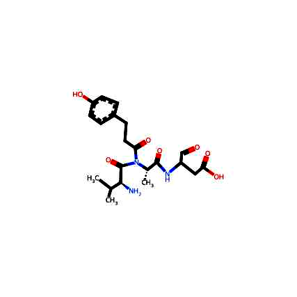 CC(C)[C@H](N)C(=O)N(C(=O)CCc1ccc(O)cc1)[C@@H](C)C(=O)NC(C=O)CC(=O)O